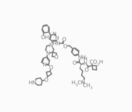 CN(C)CCCC[C@H](NC(=O)C1(C(=O)O)CCC1)C(=O)Nc1ccc(COC(=O)Nc2nnc(-c3ccccc3O)cc2N2CCN(c3ccnc(OC4CC(OC5CCNCC5)C4)c3)C3(COC3)C2)cc1